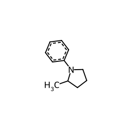 CC1CCCN1c1ccccc1